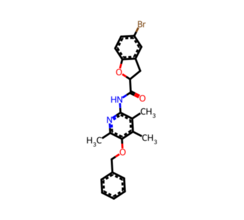 Cc1nc(NC(=O)C2Cc3cc(Br)ccc3O2)c(C)c(C)c1OCc1ccccc1